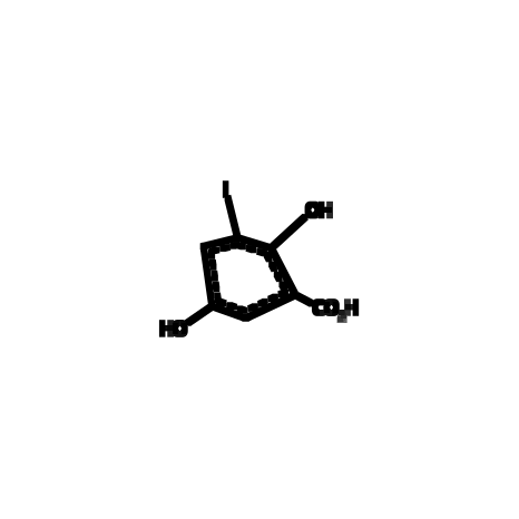 O=C(O)c1cc(O)cc(I)c1O